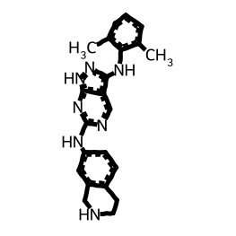 Cc1cccc(C)c1Nc1n[nH]c2nc(Nc3ccc4c(c3)CNCC4)ncc12